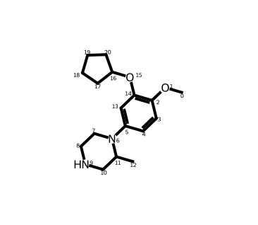 COc1ccc(N2CCNCC2C)cc1OC1CCCC1